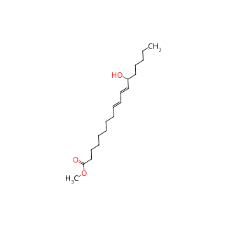 CCCCCC(O)/C=C/C=C/CCCCCCCC(=O)OC